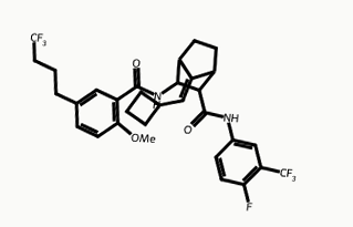 COc1ccc(CCCC(F)(F)F)cc1C(=O)NC1C2CCC(/C2=C/C2CCC2)C1C(=O)Nc1ccc(F)c(C(F)(F)F)c1